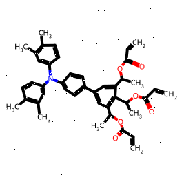 C=CC(=O)OC(C)c1cc(-c2ccc(N(c3ccc(C)c(C)c3)c3ccc(C)c(C)c3)cc2)cc(C(C)OC(=O)C=C)c1C(C)OC(=O)C=C